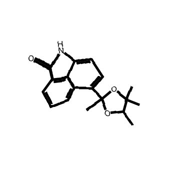 CC1OC(C)(c2ccc3c4c(cccc24)C(=O)N3)OC1(C)C